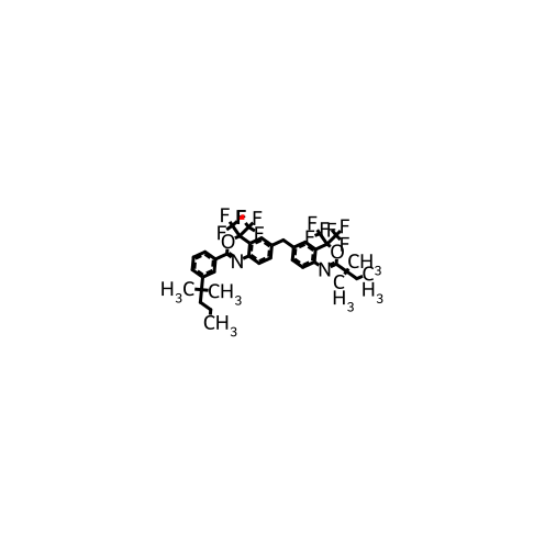 CCCC(C)(C)c1cccc(C2=Nc3ccc(Cc4ccc5c(c4)C(C(F)(F)F)(C(F)(F)F)OC(C(C)(C)CC)=N5)cc3C(C(F)(F)F)(C(F)(F)F)O2)c1